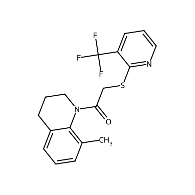 Cc1cccc2c1N(C(=O)CSc1ncccc1C(F)(F)F)CCC2